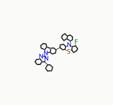 Fc1cccc2c1N(c1cccc3ccccc13)c1ccc(-c3ccc4c(c3)c3ccccc3n4-c3nc(-c4ccccc4)c4ccccc4n3)cc1S2